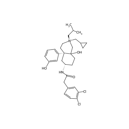 CC(C)C[N@+]1(CC2CC2)CC[C@]2(c3cccc(O)c3)C[C@@H](NC(=O)Cc3ccc(Cl)c(Cl)c3)CCC2(O)C1